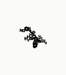 CCC(C)(C)C(CNC(=O)CNc1cccc(O)c1)CC(Oc1ccccc1)C(C)(C)CC